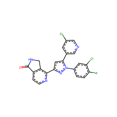 O=C1NCc2c1ccnc2-c1cc(-c2cncc(Cl)c2)n(-c2ccc(F)c(Cl)c2)n1